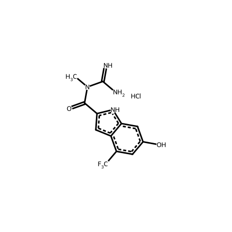 CN(C(=N)N)C(=O)c1cc2c(C(F)(F)F)cc(O)cc2[nH]1.Cl